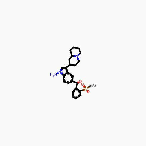 CCC(C)S(=O)(=O)c1ccccc1C(=O)c1ccc2c(c1)c(C1=CCN3CCCCC3C1)cn2N